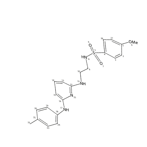 COc1ccc(S(=O)(=O)NCCNc2cccc(Nc3ccc(C)cc3)n2)cc1